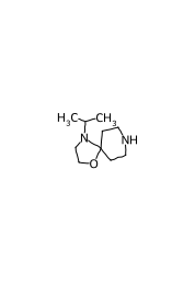 CC(C)N1CCOC12CCNCC2